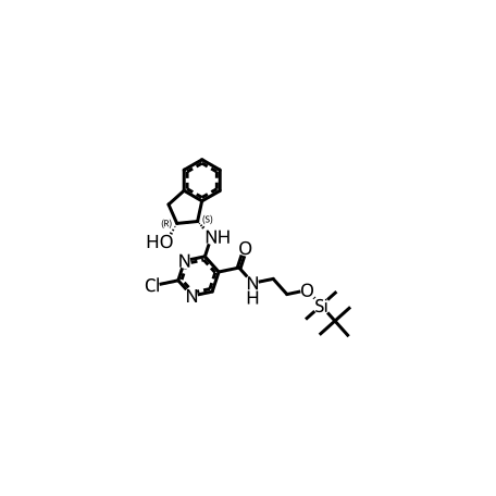 CC(C)(C)[Si](C)(C)OCCNC(=O)c1cnc(Cl)nc1N[C@H]1c2ccccc2C[C@H]1O